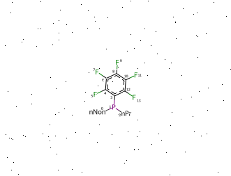 CCCCCCCCCP(CCC)c1c(F)c(F)c(F)c(F)c1F